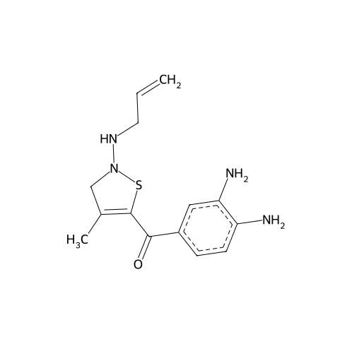 C=CCNN1CC(C)=C(C(=O)c2ccc(N)c(N)c2)S1